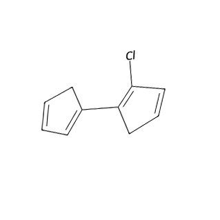 ClC1=C(C2=CC=CC2)CC=C1